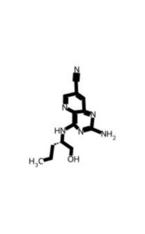 CCC[C@@H](CO)Nc1nc(N)nc2cc(C#N)cnc12